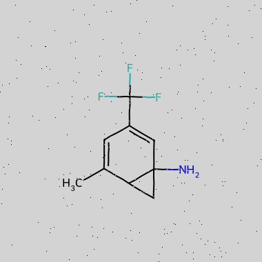 CC1=CC(C(F)(F)F)=CC2(N)CC12